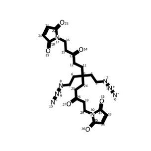 [N-]=[N+]=NCCC(CCN=[N+]=[N-])(CCC(=O)CCN1C(=O)C=CC1=O)CCC(=O)CCN1C(=O)C=CC1=O